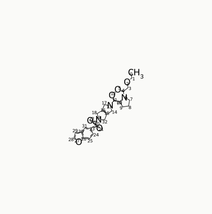 CCOCC(=O)N1CCC[C@H]1C(=O)N1CC2=C(C1)CN(S(=O)(=O)c1ccc3occc3c1)C2